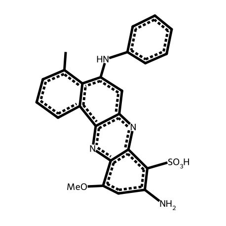 COc1cc(N)c(S(=O)(=O)O)c2nc3cc(Nc4ccccc4)c4c(C)cccc4c3nc12